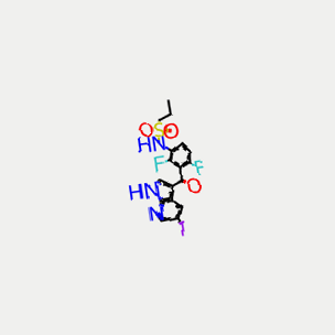 CCCS(=O)(=O)Nc1ccc(F)c(C(=O)c2c[nH]c3ncc(I)cc23)c1F